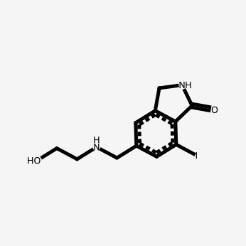 O=C1NCc2cc(CNCCO)cc(I)c21